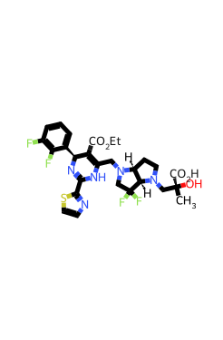 CCOC(=O)C1=C(CN2CC(F)(F)[C@H]3[C@@H]2CCN3C[C@@](C)(O)C(=O)O)NC(c2nccs2)=N[C@H]1c1cccc(F)c1F